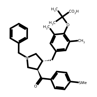 CSc1ccc(C(=O)[C@H]2CN(Cc3ccccc3)C[C@@H]2Cc2cc(C)c(OC(C)(C)C(=O)O)c(C)c2)cc1